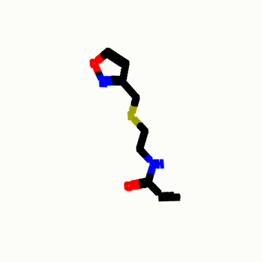 CNC(=O)NCCSCc1ccon1